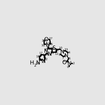 CN(C)C(=O)CN1CCN(Cc2cc3nc(-c4ccc(N)nc4)nc(N4CCOCC4)c3s2)CC1